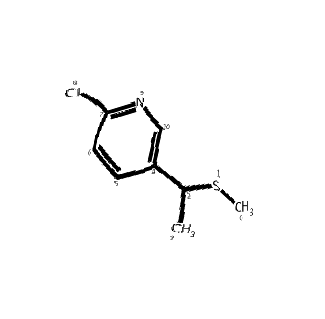 CSC(C)c1ccc(Cl)nc1